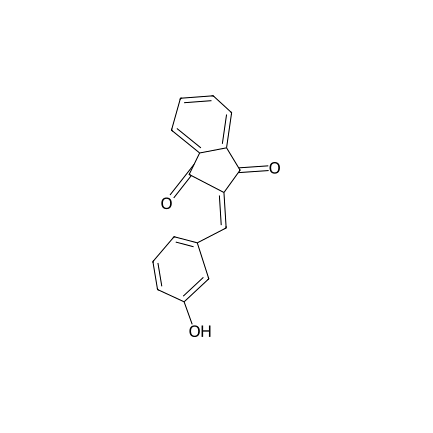 O=C1C(=Cc2cccc(O)c2)C(=O)c2ccccc21